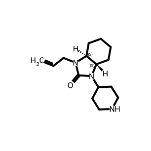 C=CCN1C(=O)N(C2CCNCC2)[C@H]2CCCC[C@@H]21